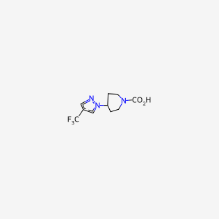 O=C(O)N1CCC(n2cc(C(F)(F)F)cn2)CC1